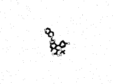 Cc1cc2nc(N3CCc4ccncc4C3)sc2c(-c2ccc(Cl)cc2)c1C(OC(C)(C)C)C(=O)O